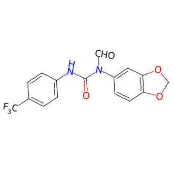 O=CN(C(=O)Nc1ccc(C(F)(F)F)cc1)c1ccc2c(c1)OCO2